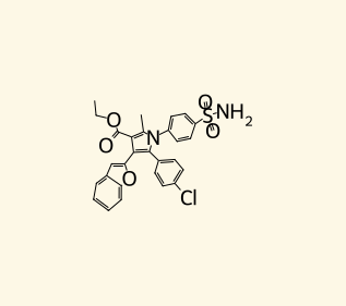 CCOC(=O)c1c(-c2cc3ccccc3o2)c(-c2ccc(Cl)cc2)n(-c2ccc(S(N)(=O)=O)cc2)c1C